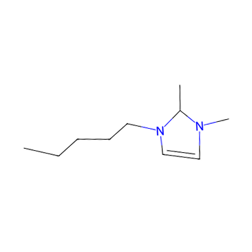 CCCCCN1C=CN(C)C1C